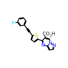 O=C(O)c1cn2nccc2nc1-c1ccc(C#Cc2cccc(F)c2)s1